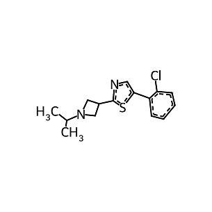 CC(C)N1CC(c2ncc(-c3ccccc3Cl)s2)C1